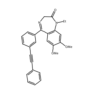 CCN1C(=O)CN=C(c2cccc(C#Cc3ccccc3)c2)c2cc(OC)c(OC)cc21